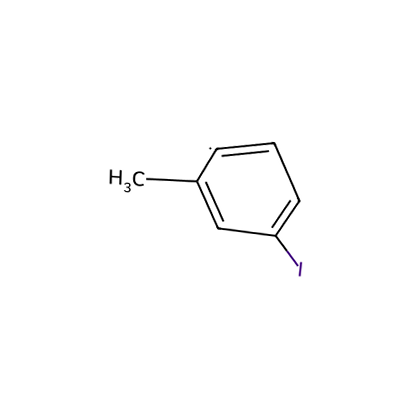 Cc1[c]ccc(I)c1